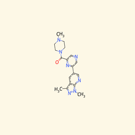 Cc1nn(C)c2ncc(-c3cncc(C(=O)N4CCN(C)CC4)n3)cc12